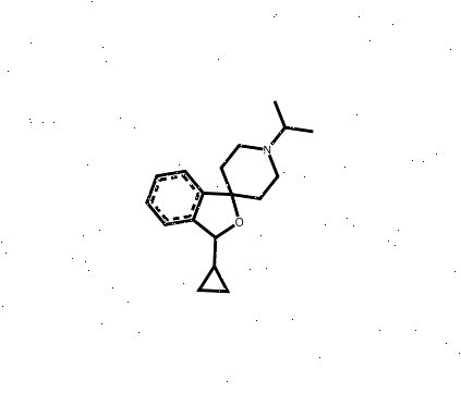 CC(C)N1CCC2(CC1)OC(C1CC1)c1ccccc12